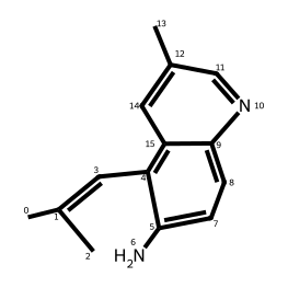 CC(C)=Cc1c(N)ccc2ncc(C)cc12